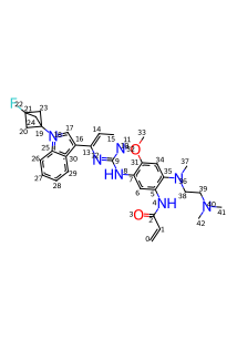 C=CC(=O)Nc1cc(N/C(N=C)=N/C(=C\C)c2cn(C34CC(F)(C3)C4)c3ccccc23)c(OC)cc1N(C)CCN(C)C